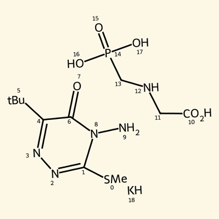 CSc1nnc(C(C)(C)C)c(=O)n1N.O=C(O)CNCP(=O)(O)O.[KH]